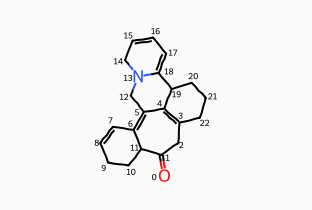 O=C1CC2=C3C(=C4C=CCCC14)CN1CC=CC=C1C3CCC2